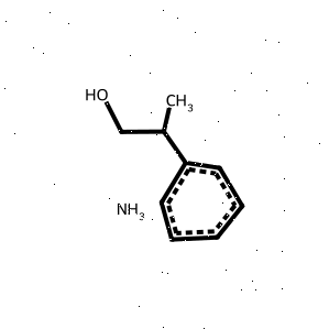 CC(CO)c1ccccc1.N